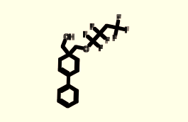 OCC1(COC(F)(F)C(F)(F)CC(F)(F)F)C=CC(c2ccccc2)=CC1